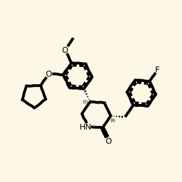 COc1ccc([C@H]2CNC(=O)[C@@H](Cc3ccc(F)cc3)C2)cc1OC1CCCC1